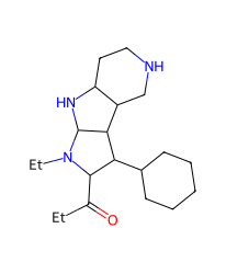 CCC(=O)C1C(C2CCCCC2)C2C3CNCCC3NC2N1CC